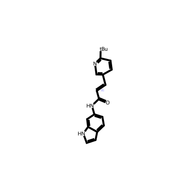 CC(C)(C)c1ccc(/C=C/C(=O)Nc2ccc3cc[nH]c3c2)cn1